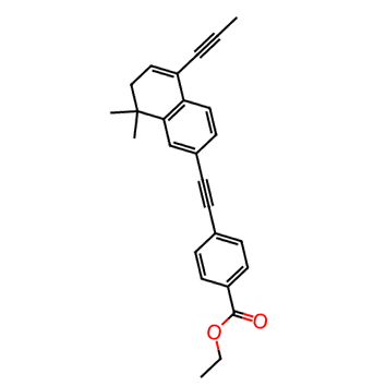 CC#CC1=CCC(C)(C)c2cc(C#Cc3ccc(C(=O)OCC)cc3)ccc21